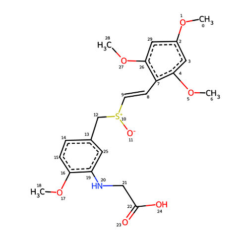 COc1cc(OC)c(C=C[S+]([O-])Cc2ccc(OC)c(NCC(=O)O)c2)c(OC)c1